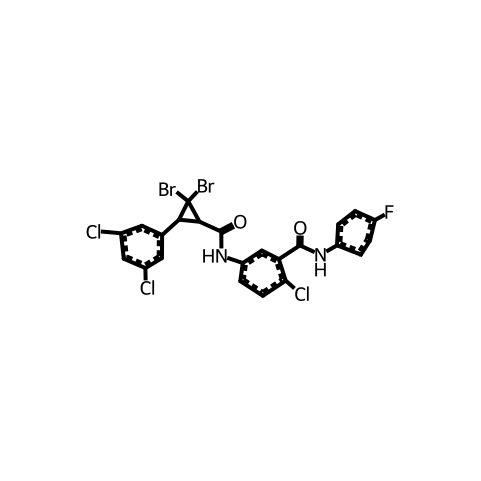 O=C(Nc1ccc(F)cc1)c1cc(NC(=O)C2C(c3cc(Cl)cc(Cl)c3)C2(Br)Br)ccc1Cl